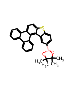 CC1(C)OB(c2ccc3sc4ccc5c6ccccc6c6ccccc6c5c4c3c2)OC1(C)C